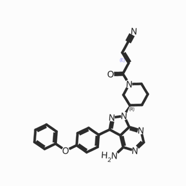 N#C/C=C/C(=O)N1CCC[C@@H](n2nc(-c3ccc(Oc4ccccc4)cc3)c3c(N)ncnc32)C1